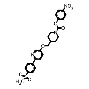 CS(=O)(=O)c1ccc(-c2ccc(OCC3CCN(C(=O)Oc4ccc([N+](=O)[O-])cc4)CC3)cn2)cc1